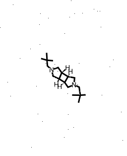 CC(C)(C)CN1C[C@H]2[C@@H]3CN(CC(C)(C)C)C[C@@H]3[C@H]2C1